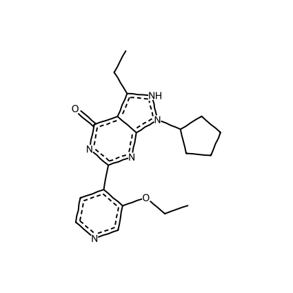 CCOc1cnccc1-c1nc2n(C3CCCC3)[nH]c(CC)c-2c(=O)n1